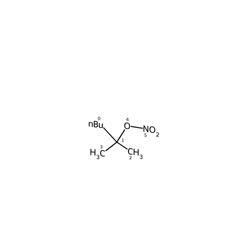 CCCCC(C)(C)O[N+](=O)[O-]